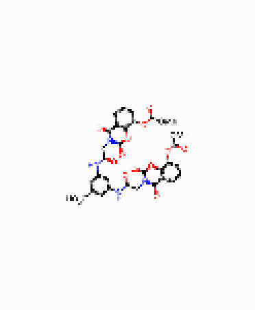 COC(=O)Oc1cccc2c(=O)n(CC(=O)Nc3cc(NC(=O)Cn4c(=O)oc5c(OC(=O)OC)cccc5c4=O)cc(C(=O)O)c3)c(=O)oc12